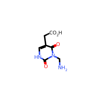 NCn1c(=O)[nH]cc(CC(=O)O)c1=O